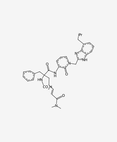 CC(C)Cc1cccc2[nH]c(Cn3cccc(NC(=O)C(CCC=CC(=O)N(C)C)(Cc4ccccc4)NC(=O)O)c3=O)nc12